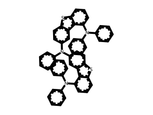 c1ccc(N(c2ccc3sc4cccc(N(c5ccccc5)c5ccccc5)c4c3c2)c2ccc3sc4cccc(N(c5ccccc5)c5ccccc5)c4c3c2)cc1